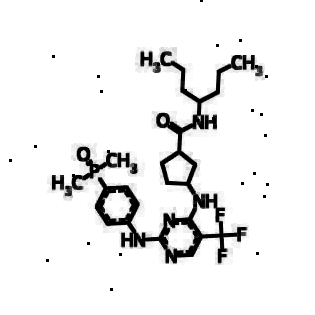 CCCC(CCC)NC(=O)C1CCC(Nc2nc(Nc3ccc(P(C)(C)=O)cc3)ncc2C(F)(F)F)C1